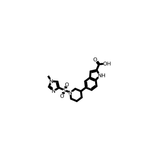 Cn1cnc(S(=O)(=O)N2CCCC(c3ccc4[nH]c(C(=O)O)cc4c3)C2)c1